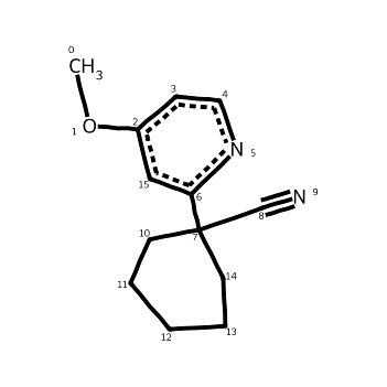 COc1ccnc(C2(C#N)CCCCC2)c1